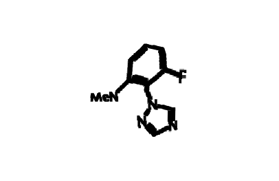 CNc1cccc(F)c1-n1cncn1